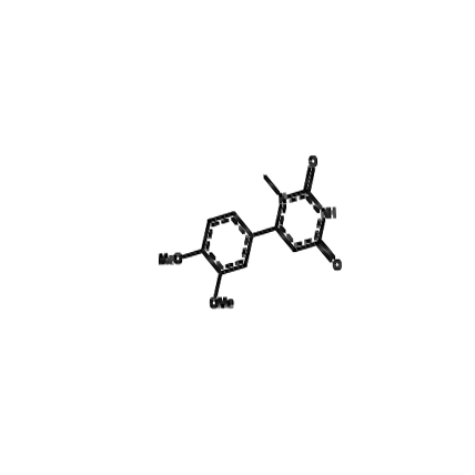 COc1ccc(-c2cc(=O)[nH]c(=O)n2C)cc1OC